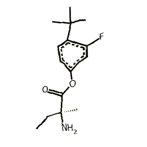 CC[C@](C)(N)C(=O)Oc1ccc(C(C)(C)C)c(F)c1